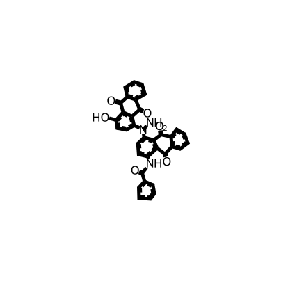 NN(c1ccc(O)c2c1C(=O)c1ccccc1C2=O)c1ccc(NC(=O)c2ccccc2)c2c1C(=O)c1ccccc1C2=O